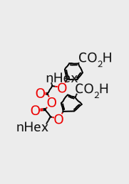 CCCCCCC(Oc1ccc(C(=O)O)cc1)C(=O)OC(=O)C(CCCCCC)Oc1ccc(C(=O)O)cc1